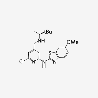 COC1C=Cc2nc(Nc3cc(CN[C@@H](C)C(C)(C)C)cc(Cl)n3)sc2C1